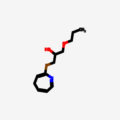 CCCOCC(O)CSC1=CCC=CC=N1